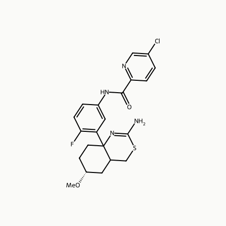 CO[C@@H]1CCC2(c3cc(NC(=O)c4ccc(Cl)cn4)ccc3F)N=C(N)SCC2C1